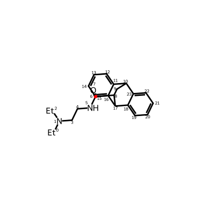 CCN(CC)CCNC(=O)C1CC2c3ccccc3C1c1ccccc12